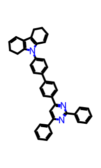 C1=Cc2c(c3c(n2-c2ccc(-c4ccc(-c5cc(-c6ccccc6)nc(-c6ccccc6)n5)cc4)cc2)CCC=C3)CC1